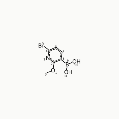 COc1nc(Br)ccc1B(O)O